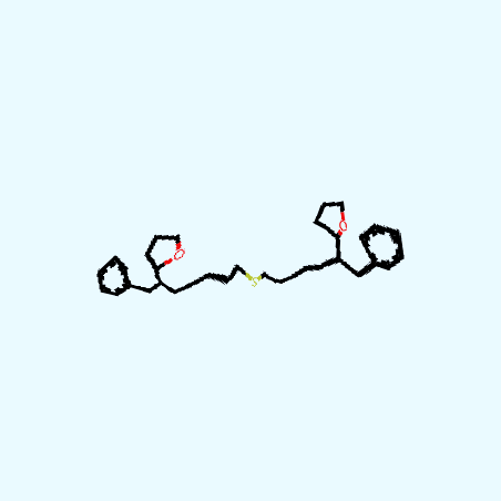 c1ccc(CC(CCCCSCCCCC(Cc2ccccc2)C2CCCO2)C2CCCO2)cc1